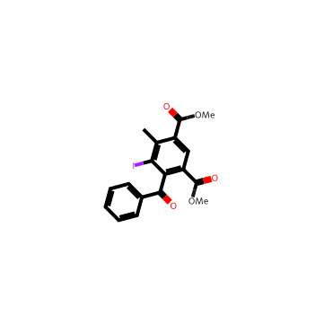 COC(=O)c1cc(C(=O)OC)c(C(=O)c2ccccc2)c(I)c1C